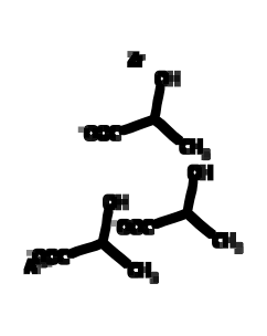 CC(O)C(=O)[O-].CC(O)C(=O)[O-].CC(O)C(=O)[O-].[Al+3].[Zr]